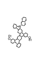 CCOc1ccc2c3ccccc3c3cc4c5cc(OCC)ccc5c5cc6c(cc5c4cc3c2c1)c1ccccc1n6-c1ccc2ccccc2c1